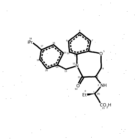 CC[C@@H](NC1COc2ccccc2N(Cc2ccc(C(C)C)cc2)C1=O)C(=O)O